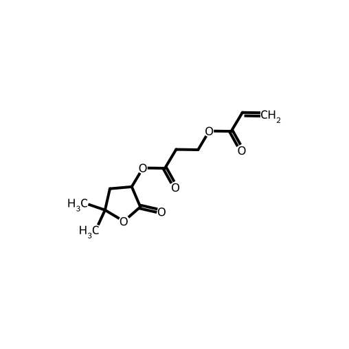 C=CC(=O)OCCC(=O)OC1CC(C)(C)OC1=O